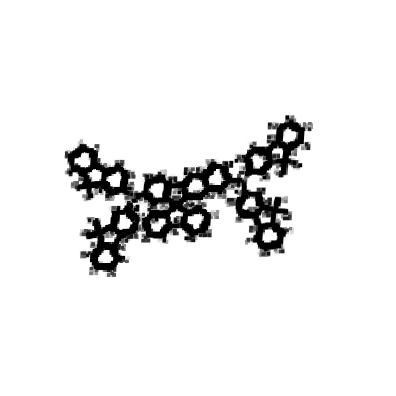 CC1(C)c2ccccc2-c2ccc(N(c3ccc4c(c3)C(C)(C)c3ccccc3-4)c3ccc4c(c3)C3(c5ccccc5-c5ccccc53)c3cc5cc(N(c6ccc7c(c6)C(C)(C)c6ccccc6-7)c6ccc7c(c6)C(C)(C)c6ccccc6-7)ccc5cc3-4)cc21